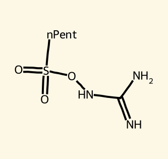 CCCCCS(=O)(=O)ONC(=N)N